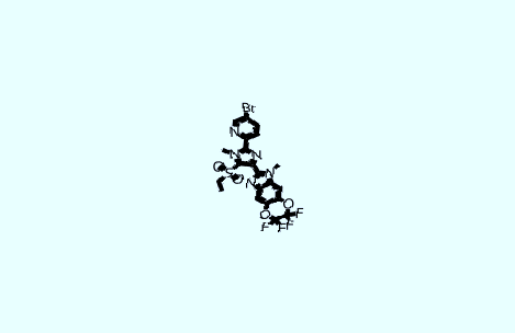 CCS(=O)(=O)c1c(-c2nc3cc4c(cc3n2C)OC(F)(F)C(F)(F)O4)nc(-c2ccc(Br)cn2)n1C